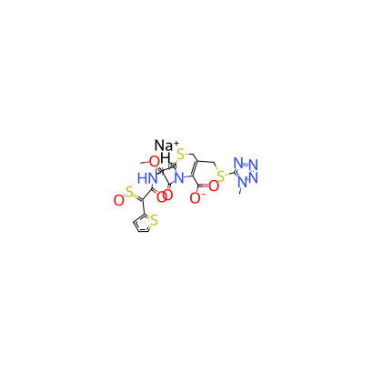 CO[C@@]1(NC(=O)C(=S=O)c2cccs2)C(=O)N2C(C(=O)[O-])=C(CSc3nnnn3C)CS[C@@H]21.[Na+]